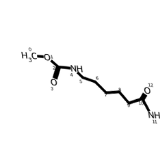 COC(=O)NCCCCCC([NH])=O